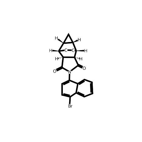 O=C1[C@@H]2[C@@H]3CC[C@@H]([C@@H]4C[C@@H]43)[C@@H]2C(=O)N1c1ccc(Br)c2ccccc12